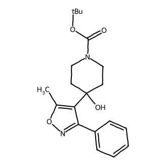 Cc1onc(-c2ccccc2)c1C1(O)CCN(C(=O)OC(C)(C)C)CC1